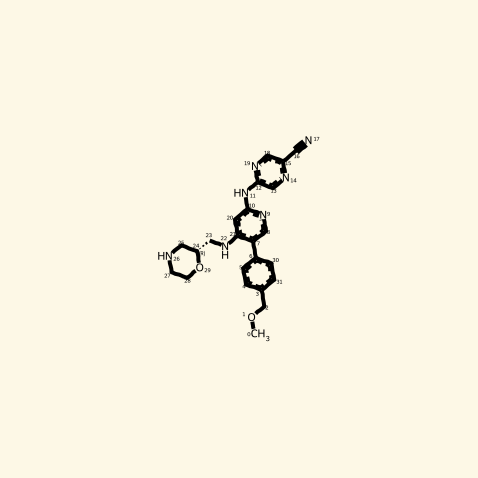 COCc1ccc(-c2cnc(Nc3cnc(C#N)cn3)cc2NC[C@H]2CNCCO2)cc1